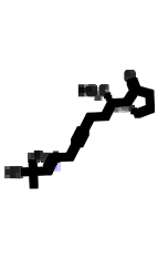 CCCCCC(C)(O)/C=C/CC#CCC[C@H](C(=O)O)[C@H]1CCCC1=O